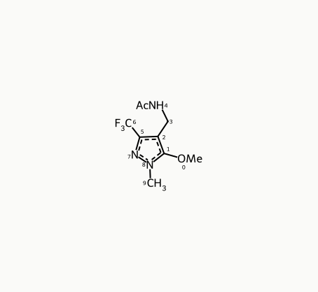 COc1c(CNC(C)=O)c(C(F)(F)F)nn1C